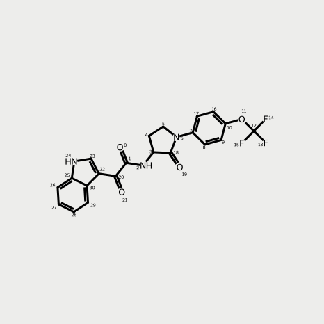 O=C(NC1CCN(c2ccc(OC(F)(F)F)cc2)C1=O)C(=O)c1c[nH]c2ccccc12